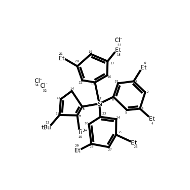 CCc1cc(CC)cc([Si](C2=[C]([Ti+3])C(C(C)(C)C)=CC2)(c2cc(CC)cc(CC)c2)c2cc(CC)cc(CC)c2)c1.[Cl-].[Cl-].[Cl-]